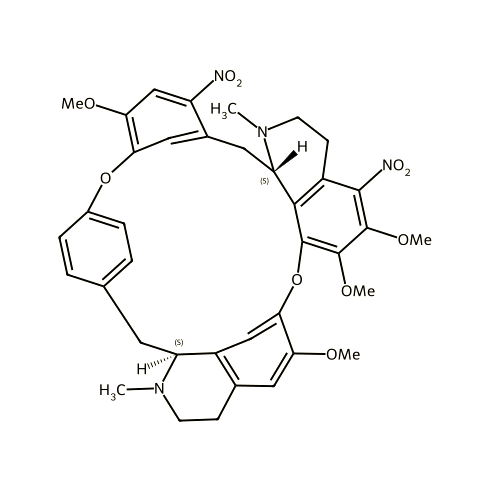 COc1cc([N+](=O)[O-])c2cc1Oc1ccc(cc1)C[C@H]1c3cc(c(OC)cc3CCN1C)Oc1c(OC)c(OC)c([N+](=O)[O-])c3c1[C@H](C2)N(C)CC3